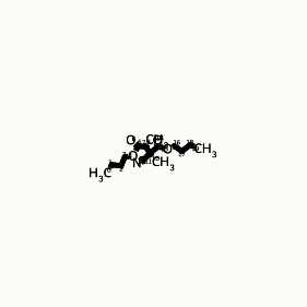 CCCCOC(=O)C(C)C(C)(C#N)C(=O)OCCCC